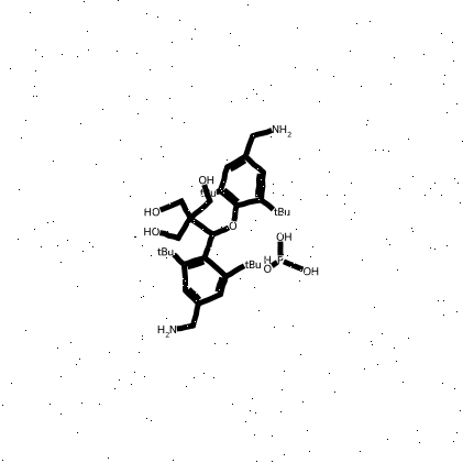 CC(C)(C)c1cc(CN)cc(C(C)(C)C)c1OC(c1c(C(C)(C)C)cc(CN)cc1C(C)(C)C)C(CO)(CO)CO.OP(O)O